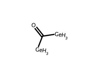 O=[C]([GeH3])[GeH3]